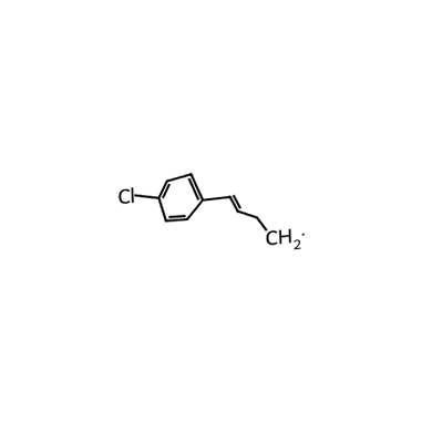 [CH2]C/C=C/c1ccc(Cl)cc1